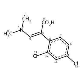 CN(C)C=C(C(=O)O)c1ccc(Cl)cc1Cl